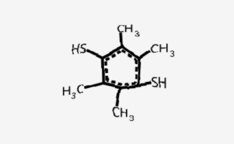 Cc1c(C)c(S)c(C)c(C)c1S